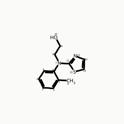 Cc1ccccc1N(CCO)c1nccs1